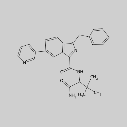 CC(C)(C)C(NC(=O)c1nn(Cc2ccccc2)c2ccc(-c3cccnc3)cc12)C(N)=O